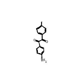 Bc1ccc(C(=O)C(=O)c2ccc(C)cc2)cc1